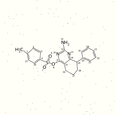 Cc1ccc(S(=O)(=O)Oc2nc(N)nc3c2CCCC3c2ccccc2)cc1